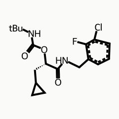 CC(C)(C)NC(=O)O[C@@H](CC1CC1)C(=O)NCc1cccc(Cl)c1F